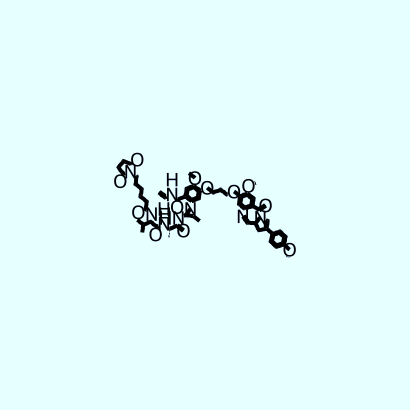 C=CNC(=O)c1cc(OC)c(OCCCOc2cc3c(cc2OC)C(=O)N2C=C(c4ccc(OC)cc4)CC2C=N3)cc1N1C(C)C1NC(=O)[C@H](C)NC(=O)[C@@H](NC(=O)CCCCCN1C(=O)CCC1=O)C(C)C